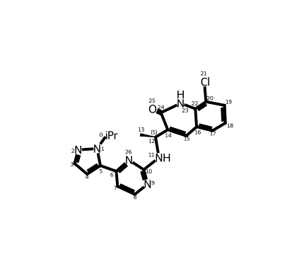 CC(C)n1nccc1-c1ccnc(N[C@@H](C)c2cc3cccc(Cl)c3[nH]c2=O)n1